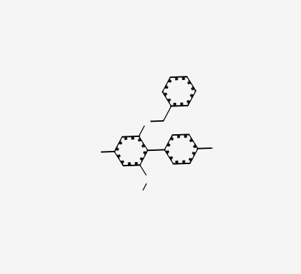 CCOc1cc(C=O)cc(OCc2ccccc2)c1-c1ccc(F)cc1